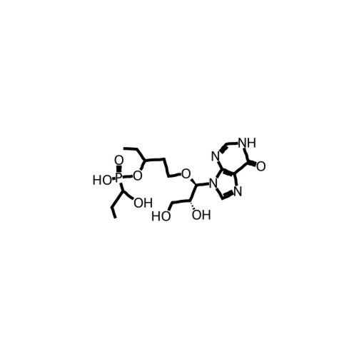 CCC(CCO[C@H]([C@H](O)CO)n1cnc2c(=O)[nH]cnc21)OP(=O)(O)C(O)CC